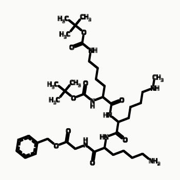 CNCCCCC(NC(=O)C(CCCCNC(=O)OC(C)(C)C)NC(=O)OC(C)(C)C)C(=O)NC(CCCCN)C(=O)NCC(=O)OCc1ccccc1